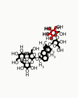 C=C1CC23CCC4[C@](C)(C(=O)OC5OC(CO)C(O)C(OC6OC(CO)C(O)C(O)C6O)C5OC5OC(CO)C(O)C(O)C5O)CCC[C@@]4(C)[C@]2(C)CCC1(OC1OC(CO)C(O)C(OC2OC(CO)C(O)C(O)C2O)C1OC1OC(CO)C(O)C(O)C1O)C3